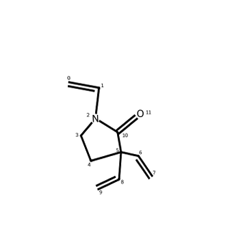 C=CN1CCC(C=C)(C=C)C1=O